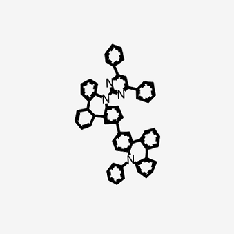 C1=CC2c3ccccc3N(c3nc(-c4ccccc4)cc(-c4ccccc4)n3)c3ccc(-c4ccc5c(c4)-c4ccccc4-c4ccccc4N5c4ccccc4)cc3C2C=C1